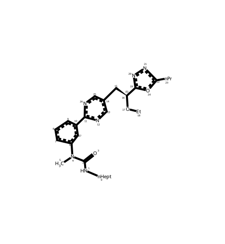 CCCCCCCNC(=O)N(C)c1cccc(-c2ncc(C[C@H](OCC)c3nnc(CCC)o3)cn2)c1